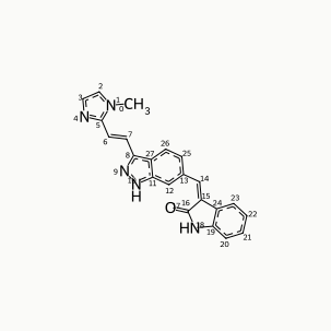 Cn1ccnc1C=Cc1n[nH]c2cc(C=C3C(=O)Nc4ccccc43)ccc12